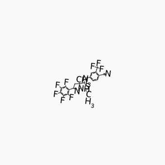 CCS/C(=N\c1ccc(C#N)c(C(F)(F)F)c1)C1(C)CC(c2c(F)c(F)c(F)c(F)c2F)=NN1